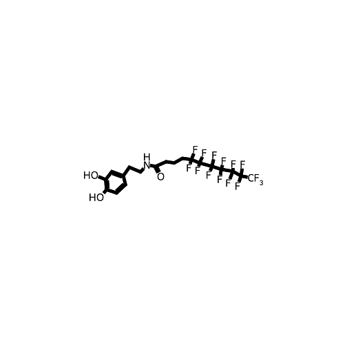 O=C(CCCC(F)(F)C(F)(F)C(F)(F)C(F)(F)C(F)(F)C(F)(F)C(F)(F)F)NCCc1ccc(O)c(O)c1